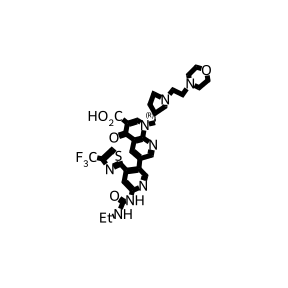 CCNC(=O)Nc1cc(-c2nc(C(F)(F)F)cs2)c(-c2cnc3c(c2)c(=O)c(C(=O)O)cn3C[C@@H]2CCN(CCN3CCOCC3)C2)cn1